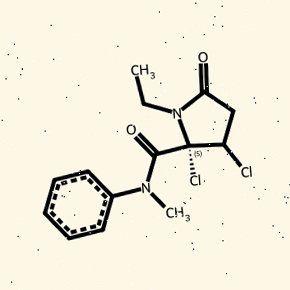 CCN1C(=O)CC(Cl)[C@@]1(Cl)C(=O)N(C)c1ccccc1